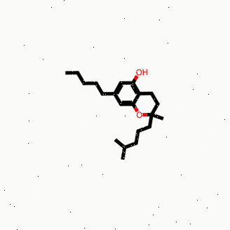 CCCCCc1cc(O)c2c(c1)OC(C)(CCCC(C)C)CC2